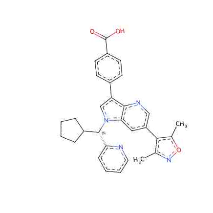 Cc1noc(C)c1-c1cnc2c(-c3ccc(C(=O)O)cc3)cn([C@H](c3ccccn3)C3CCCC3)c2c1